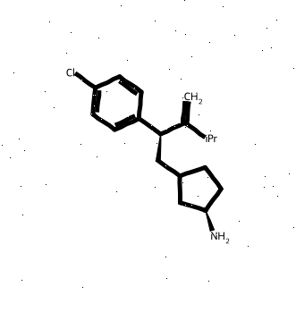 C=C(C(C)C)[C@@H](CC1CC[C@@H](N)C1)c1ccc(Cl)cc1